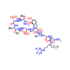 CCC(C)[C@H](NC(=O)[C@H](CO)NC(=O)[C@@H](NC(=O)[C@@H](N)CO)C(C)CC)C(=O)N[C@H](C(=O)NCC(=O)N[C@@H](CO)C(=O)N[C@@H](Cc1ccc(O)cc1)C(=O)N[C@H](C(=O)NCC(=O)N[C@@H](CC(N)=O)C(=O)N[C@@H](CCCN=C(N)N)C(=O)O)C(C)C)C(C)C